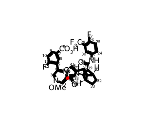 COc1ncc(-c2cc(C(=O)O)ccc2F)nc1C(=O)N[C@H]1[C@@H](C(=O)Nc2ccc(F)c(C(F)(F)F)c2)[C@H]2CC[C@@H]1/C2=C\c1cnoc1